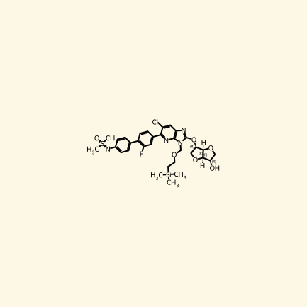 C[Si](C)(C)CCOCn1c(O[C@@H]2CO[C@H]3[C@@H]2OC[C@H]3O)nc2cc(Cl)c(-c3ccc(-c4ccc(N=S(C)(C)=O)cc4)c(F)c3)nc21